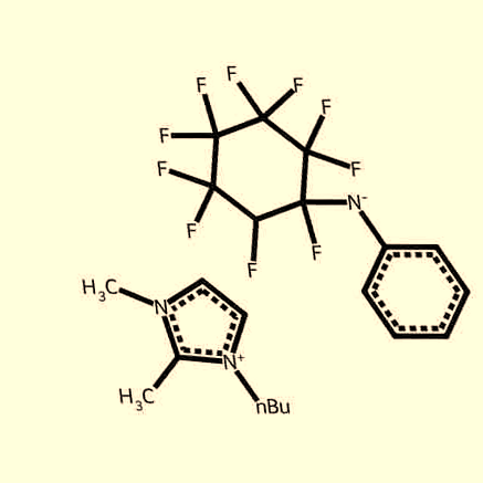 CCCC[n+]1ccn(C)c1C.FC1C(F)(F)C(F)(F)C(F)(F)C(F)(F)C1(F)[N-]c1ccccc1